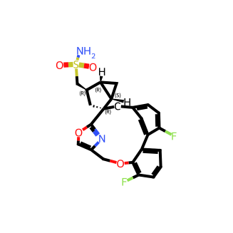 NS(=O)(=O)C[C@@H]1C[C@@]2(Cc3ccc(F)c(c3)-c3cccc(F)c3OCc3coc2n3)[C@H]2C[C@@H]12